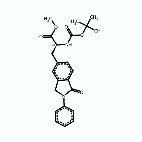 COC(=O)[C@H](Cc1ccc2c(c1)CN(c1ccccc1)C2=O)NC(=O)OC(C)(C)C